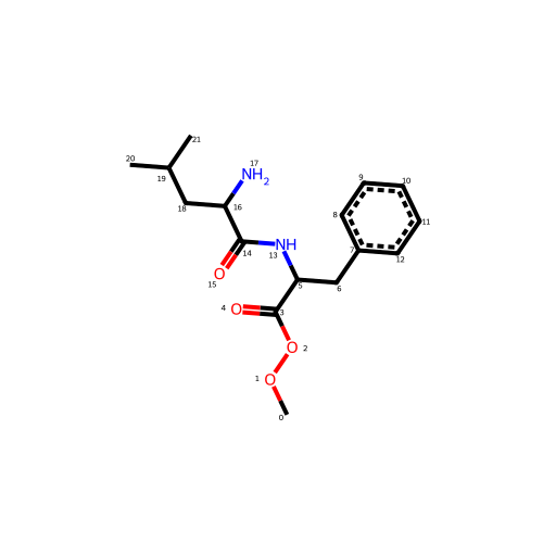 COOC(=O)C(Cc1ccccc1)NC(=O)C(N)CC(C)C